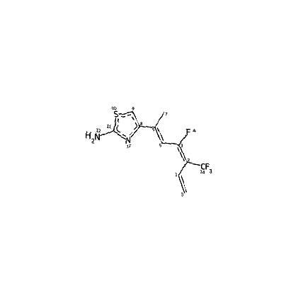 C=C/C(=C(F)\C=C(/C)c1csc(N)n1)C(F)(F)F